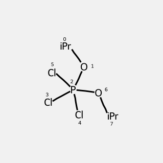 CC(C)OP(Cl)(Cl)(Cl)OC(C)C